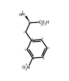 CCC[C@H](Cc1cccc([N+](=O)[O-])c1)C(=O)O